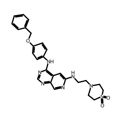 O=S1(=O)CCN(CCNc2cc3c(Nc4ccc(OCc5ccccc5)cc4)ncnc3cn2)CC1